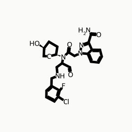 NC(=O)c1nn(CC(=O)N(C(C=O)CNCc2cccc(Cl)c2F)[C@H]2CC[C@H](O)CC2)c2ccccc12